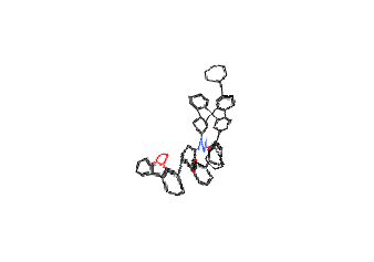 c1ccc(-c2ccccc2N(c2ccc(-c3cccc4c3oc3ccccc34)cc2)c2ccc3c(c2)C2(c4ccccc4-3)c3cc(C4CCCCC4)ccc3-c3ccc(C4CCCCC4)cc32)cc1